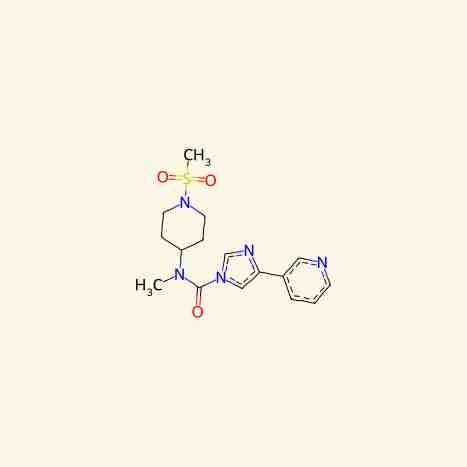 CN(C(=O)n1cnc(-c2cccnc2)c1)C1CCN(S(C)(=O)=O)CC1